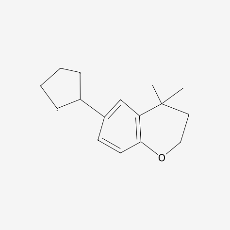 CC1(C)CCOc2ccc(C3[CH]CCC3)cc21